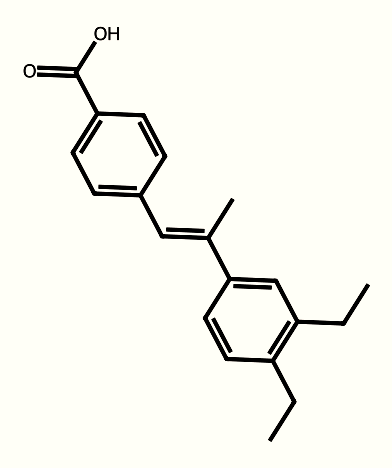 CCc1ccc(C(C)=Cc2ccc(C(=O)O)cc2)cc1CC